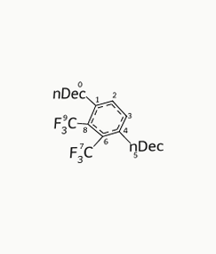 CCCCCCCCCCc1ccc(CCCCCCCCCC)c(C(F)(F)F)c1C(F)(F)F